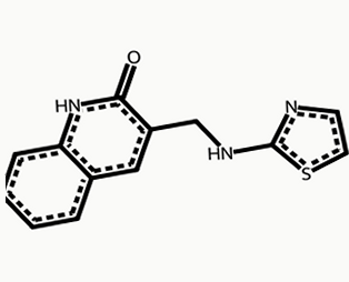 O=c1[nH]c2ccccc2cc1CNc1nccs1